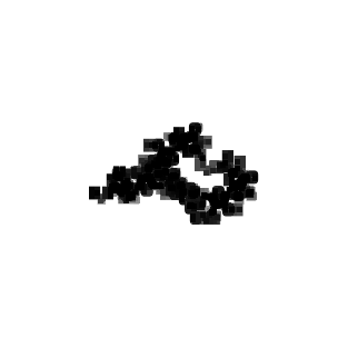 CCNc1nc2c(c(=O)[nH]1)[n+](C)cn2[C@@H]1O[C@H](COP(=O)(O)OP(=O)(O)OP(=O)(O)OC[C@H]2O[C@@H](n3cnc4c(N)ncnc43)[C@H](OC)[C@@H]2P(=O)([O-])OC[C@H]2O[C@@H](n3cnc4c(=O)[nH]c(N)nc43)[C@H](O)[C@@H]2O)[C@@H](COC)[C@H]1O